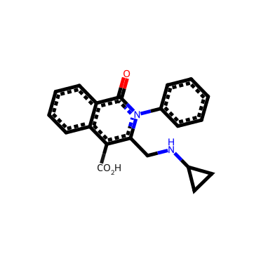 O=C(O)c1c(CNC2CC2)n(-c2ccccc2)c(=O)c2ccccc12